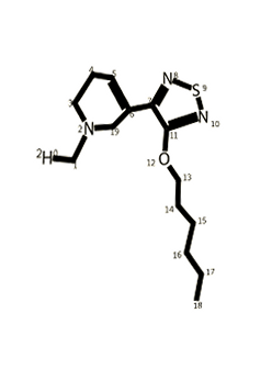 [2H]CN1CCC=C(c2nsnc2OCCCCCC)C1